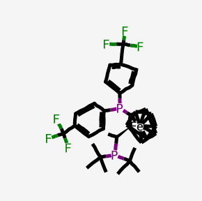 CC(P(C(C)(C)C)C(C)(C)C)[C@@]12[CH]3[CH]4[CH]5[C]1(P(c1ccc(C(F)(F)F)cc1)c1ccc(C(F)(F)F)cc1)[Fe]45321678[CH]2[CH]1[CH]6[CH]7[CH]28